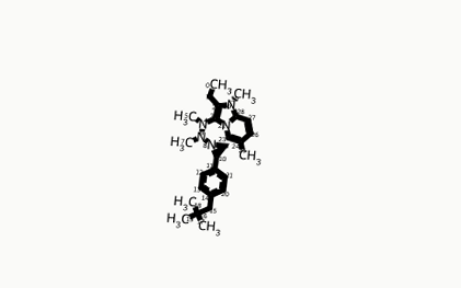 CCC1=C(N(C)N(C)N2C=C2c2ccc(CC(C)(C)C)cc2)N2C=C(C)C=CC2N1C